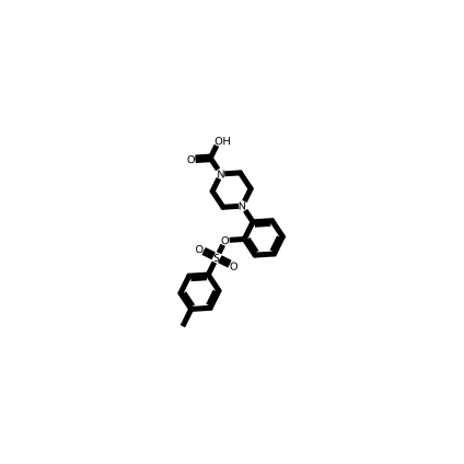 Cc1ccc(S(=O)(=O)Oc2ccccc2N2CCN(C(=O)O)CC2)cc1